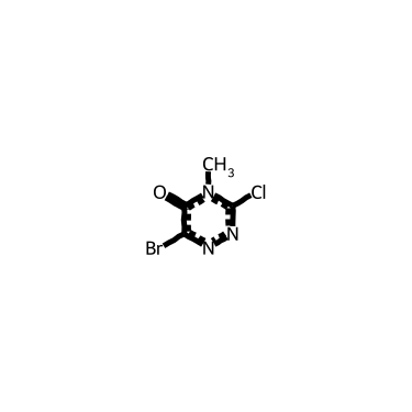 Cn1c(Cl)nnc(Br)c1=O